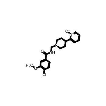 COc1cc(C(=O)NCN2CCC(c3cccc[n+]3[O-])CC2)ccc1Cl